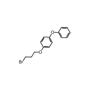 BrCCCOc1ccc(Oc2cc[c]cc2)cc1